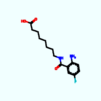 Nc1ccc(F)cc1C(=O)NCCCCCCCC(=O)O